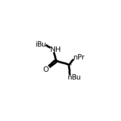 CCCC[C](CCC)C(=O)NC(C)CC